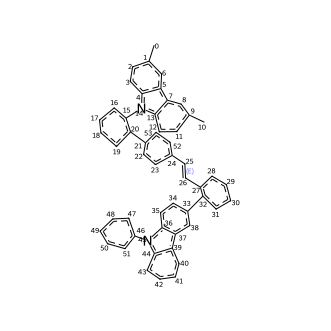 Cc1ccc2c(c1)c1cc(C)ccc1n2-c1ccccc1-c1ccc(/C=C/c2ccccc2-c2ccc3c(c2)c2ccccc2n3-c2ccccc2)cc1